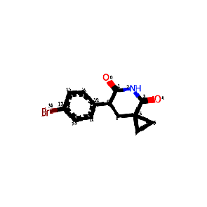 O=C1NC(=O)C2(CC2)CC1c1ccc(Br)cc1